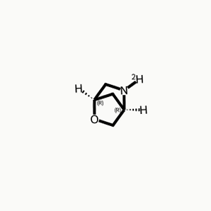 [2H]N1C[C@H]2C[C@@H]1CO2